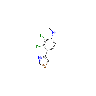 CN(C)c1ccc(-c2cs[c]n2)c(F)c1F